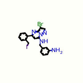 Nc1cccc(CNc2cc(-c3ccccc3CI)nc3c(Br)cnn23)c1